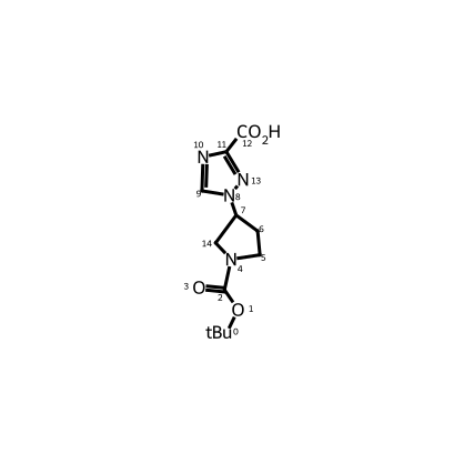 CC(C)(C)OC(=O)N1CCC(n2cnc(C(=O)O)n2)C1